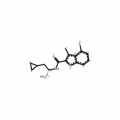 Cc1c(C(=O)N[C@@H](CC2CC2)C(=O)O)sc2cccc(F)c12